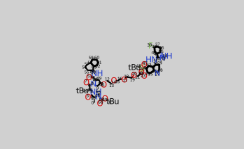 C[C@@H](C(=O)N[C@H](C(=O)N1C[C@@H](OCCOCCOCCOCCOc2cc3nccc(Nc4n[nH]c5ccc(F)cc45)c3cc2S(=O)(=O)C(C)(C)C)C[C@H]1C(=O)N[C@@H]1CCCc2ccccc21)C(C)(C)C)N(C)C(=O)OC(C)(C)C